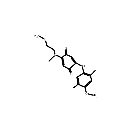 Cc1cc(ON)c(C)cc1NC1=CC(=O)C(N(C)CCON)=CC1=O